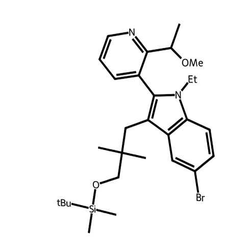 CCn1c(-c2cccnc2C(C)OC)c(CC(C)(C)CO[Si](C)(C)C(C)(C)C)c2cc(Br)ccc21